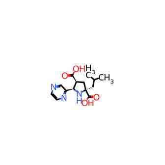 CC(C)C[C@@]1(C(=O)O)C[C@H](C(=O)O)[C@H](c2cnccn2)N1